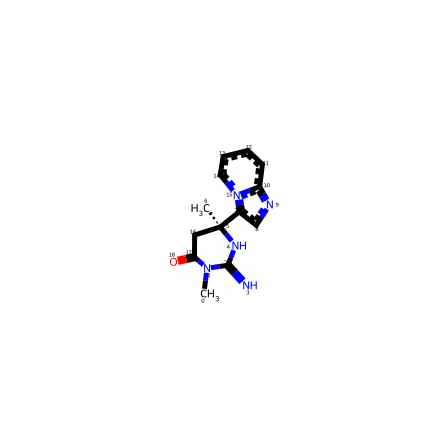 CN1C(=N)N[C@](C)(c2cnc3ccccn23)CC1=O